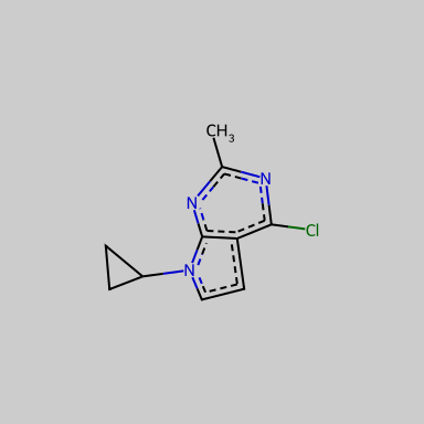 Cc1nc(Cl)c2ccn(C3CC3)c2n1